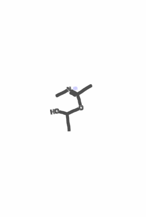 C/N=C(/C)OC(C)O